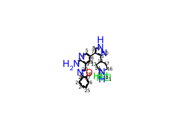 Cl.Cl.Nc1ncc(-c2c[nH]nc2C2CCNCC2)cc1-c1nc2ccccc2o1